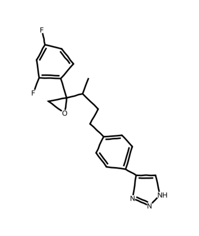 CC(CCc1ccc(-c2c[nH]nn2)cc1)C1(c2ccc(F)cc2F)CO1